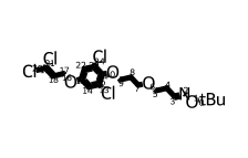 CC(C)(C)ON=CCCOCCCOc1c(Cl)cc(OCC=C(Cl)Cl)cc1Cl